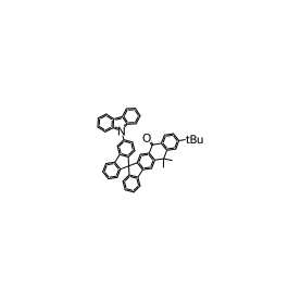 CC(C)(C)c1ccc2c(c1)C(C)(C)c1cc3c(cc1C2=O)C1(c2ccccc2-c2cc(-n4c5ccccc5c5ccccc54)ccc21)c1ccccc1-3